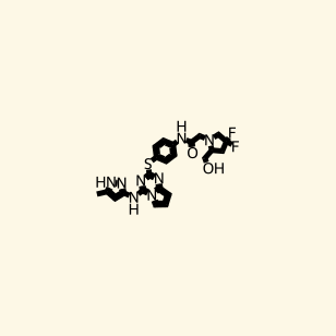 Cc1cc(Nc2nc(Sc3ccc(NC(=O)CN4CC(F)(F)CC4CO)cc3)nc3cccn23)n[nH]1